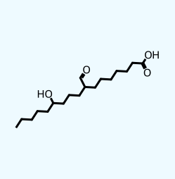 CCCCCC(O)CCCC(C=O)CCCCCCC(=O)O